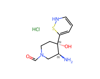 Cl.N[C@H]1CN(C=O)CC[C@@]1(O)C1=CC=CNS1